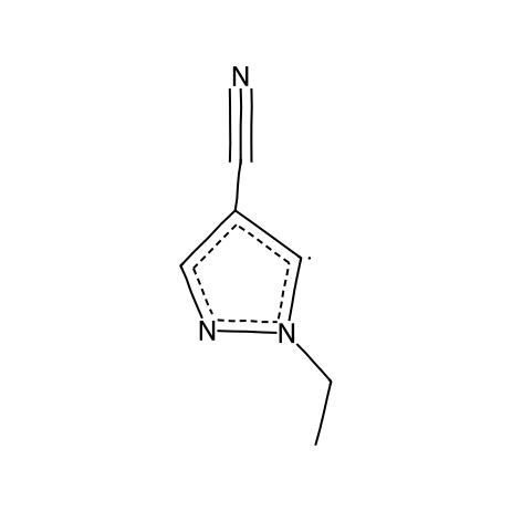 CCn1[c]c(C#N)cn1